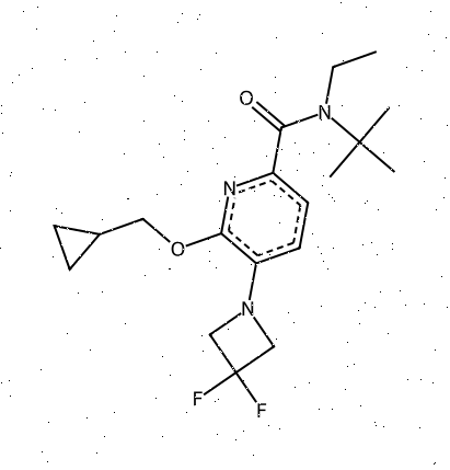 CCN(C(=O)c1ccc(N2CC(F)(F)C2)c(OCC2CC2)n1)C(C)(C)C